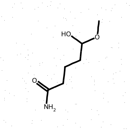 COC(O)CCCC(N)=O